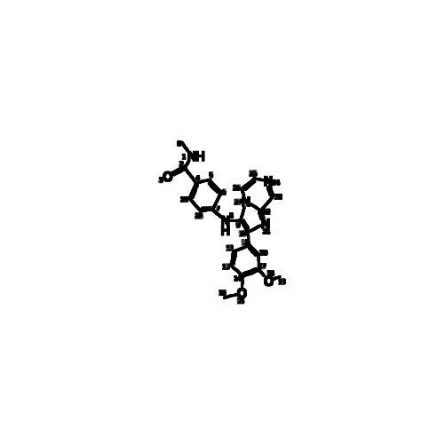 CNC(=O)c1ccc(Nc2c(-c3ccc(OC)c(OC)c3)nc3cnccn23)cc1